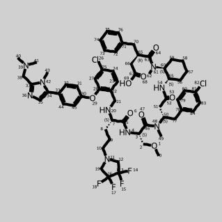 COC[C@H](NC(=O)[C@H](CCCN1CC(F)(F)C(F)(F)C1)NCc1ccc(Cl)cc1Oc1ccc(-c2cnc(CN(C)C)n2C)cc1)C(=O)N(C)[C@H](CC(=O)N[C@H]1CCCC[C@@H]1N(C)C(=O)[C@@H](CC(=O)O)Cc1ccccc1)Cc1ccc(Cl)cc1